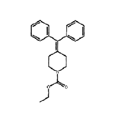 CCOC(=O)N1CCC(=C(c2ccccc2)c2ccccc2)CC1